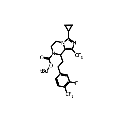 CC(C)(C)OC(=O)N1CCn2c(C3CC3)nc(C(F)(F)F)c2C1CCc1ccc(C(F)(F)F)c(F)c1